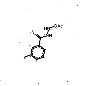 CC(=O)ONNC(=O)c1cccc(C)c1